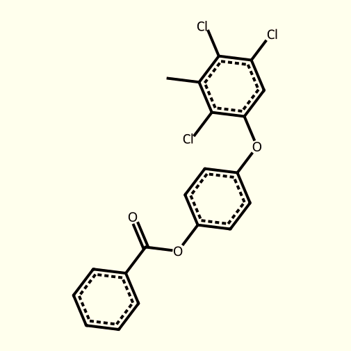 Cc1c(Cl)c(Cl)cc(Oc2ccc(OC(=O)c3ccccc3)cc2)c1Cl